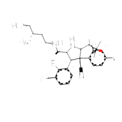 CC(C)(C)CC1NC(C(=O)NCC[C@@H](O)CO)C(c2cccc(Cl)c2F)C1(C#N)c1ccc(Cl)cc1F